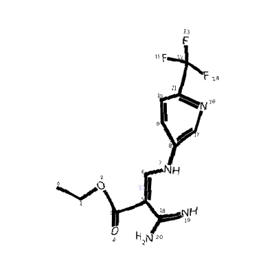 CCOC(=O)/C(=C/Nc1ccc(C(F)(F)F)nc1)C(=N)N